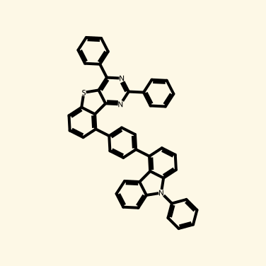 c1ccc(-c2nc(-c3ccccc3)c3sc4cccc(-c5ccc(-c6cccc7c6c6ccccc6n7-c6ccccc6)cc5)c4c3n2)cc1